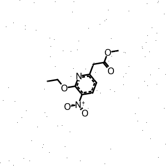 CCOc1nc(CC(=O)OC)ccc1[N+](=O)[O-]